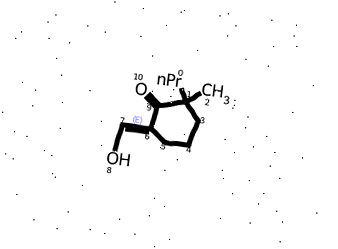 CCCC1(C)CCC/C(=C\O)C1=O